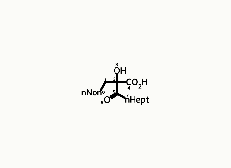 CCCCCCCCCCC(O)(C(=O)O)C(=O)CCCCCCC